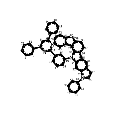 c1ccc(-c2cc(-c3ccccc3)nc(-c3cccc(-n4c5cc6c(ccn6-c6ccccc6)cc5c5ccc6sc7ccccc7c6c54)c3)n2)cc1